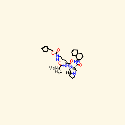 CN[C@@H](C)C(=O)N[C@@H](CCCNC(=O)OCc1ccccc1)C(=O)N1C[C@H]2CCCN2C[C@H]1C(=O)N[C@@H]1CCCc2ccccc21